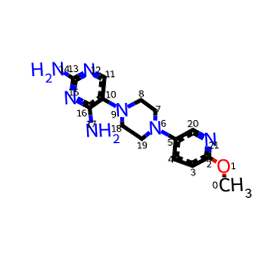 COc1ccc(N2CCN(c3cnc(N)nc3N)CC2)cn1